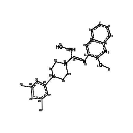 COc1nc2ccccc2cc1N=C(NO)N1CCN(c2cc(C)cc(C)c2)CC1